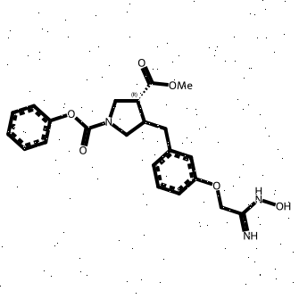 COC(=O)[C@H]1CN(C(=O)Oc2ccccc2)CC1Cc1cccc(OCC(=N)NO)c1